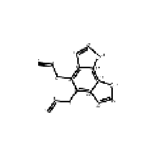 C=CCc1c(CC=C)c2ccsc2c2sccc12